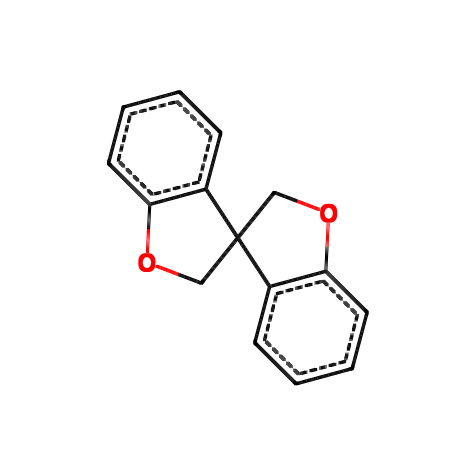 c1ccc2c(c1)OCC21COc2ccccc21